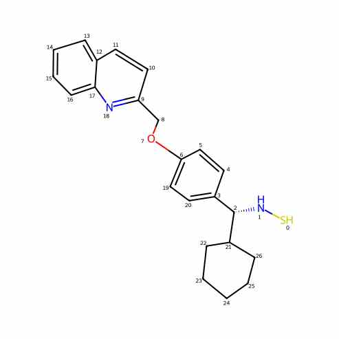 SN[C@@H](c1ccc(OCc2ccc3ccccc3n2)cc1)C1CCCCC1